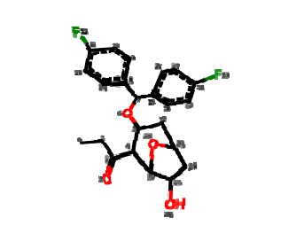 CCC(=O)C1C(OC(c2ccc(F)cc2)c2ccc(F)cc2)CC2CC(O)C1O2